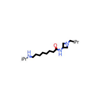 CC(C)CN1CC(NC(=O)CCCCCCCNC(C)C)C1